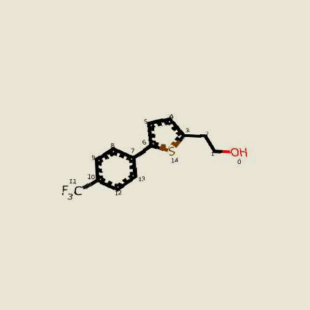 OCCc1ccc(-c2ccc(C(F)(F)F)cc2)s1